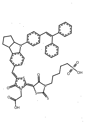 O=C(O)Cn1c(=O)/c(=C/c2ccc3c(c2)C2CCCC2N3c2ccc(C=C(c3ccccc3)c3ccccc3)cc2)s/c1=C1/SC(=S)N(CCCCCS(=O)(=O)O)C1=O